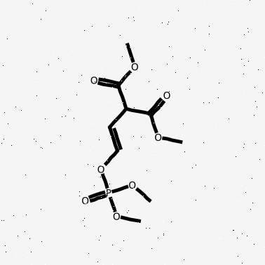 COC(=O)C(C=COP(=O)(OC)OC)C(=O)OC